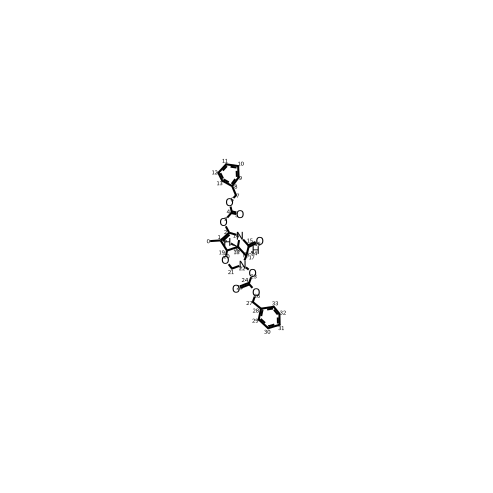 CC1=C(OC(=O)OCc2ccccc2)N2C(=O)[C@@H]3[C@@H]2C1OCN3OC(=O)OCc1ccccc1